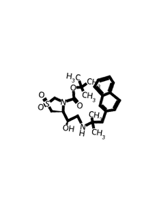 CC(C)(Cc1ccc2ccccc2c1)NC[C@@H](O)[C@H]1CS(=O)(=O)CN1C(=O)OC(C)(C)C